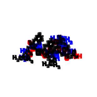 CC(C)C[C@H](NC(=O)CNC(=O)[C@@H](Cc1ccccc1)NC(=O)[C@H](C)NC(=O)[C@@H](Cc1ccc(O)cc1)NC(=O)[C@@H](CC(C)C)NC(=O)[C@@H](CCCN=C(N)N)NC(=O)CNC(=O)[C@@H](CC(=O)O)NC(=O)CN)C(N)=O